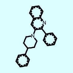 c1ccc(-c2nc3ccccc3cc2N2CCC(c3ccccc3)CC2)cc1